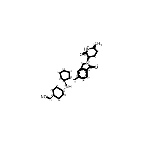 C=C1CCC(N2Cc3cc(C[C@H]4CCCC[C@@H]4N[C@H]4CC[C@H](CC#N)CC4)ccc3C2=O)C(=O)N1